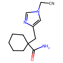 N#CCn1cnc([CH]C2(C(N)=O)CCCCC2)c1